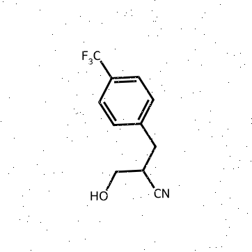 N#CC(CO)Cc1ccc(C(F)(F)F)cc1